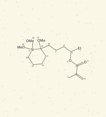 C=C(C)C(=O)OC(CC)CCCC1(OC)CCCC[Si]1(OC)OC